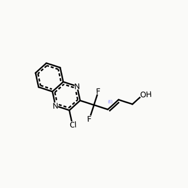 OC/C=C/C(F)(F)c1nc2ccccc2nc1Cl